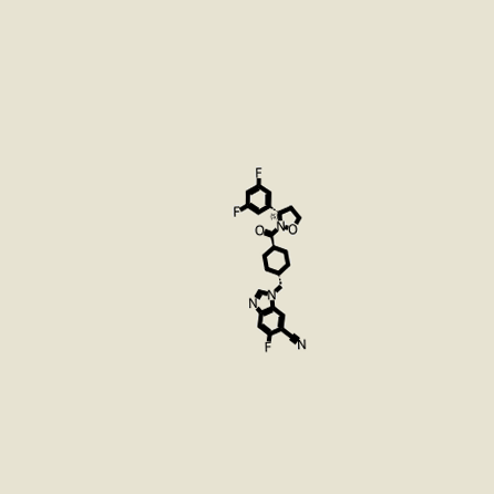 N#Cc1cc2c(cc1F)ncn2C[C@H]1CC[C@H](C(=O)N2OCC[C@H]2c2cc(F)cc(F)c2)CC1